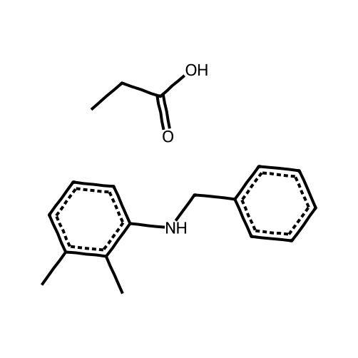 CCC(=O)O.Cc1cccc(NCc2ccccc2)c1C